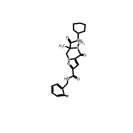 CN1C(=O)c2cc(C(=O)NCc3ccccc3F)nn2CC1(C)C(=O)NC1CCCCC1